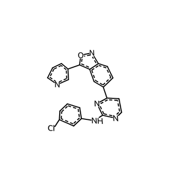 Clc1cccc(Nc2nccc(-c3ccc4noc(-c5cccnc5)c4c3)n2)c1